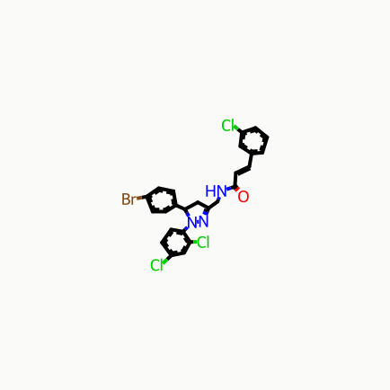 O=C(C=Cc1cccc(Cl)c1)NCC1=NN(c2ccc(Cl)cc2Cl)C(c2ccc(Br)cc2)C1